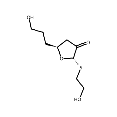 O=C1C[C@H](CCCO)O[C@H]1SCCO